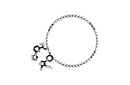 CC1=C(N2CCC3(CCCCCCCCCCCCCCCCCCCCCCCCCCCCCCCCCCCCCCCCCCCCCCCCN(CC(O)c4cccc(-n5cnnn5)n4)CC3)CC2)COC1=O